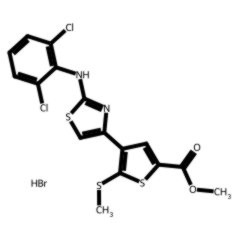 Br.COC(=O)c1cc(-c2csc(Nc3c(Cl)cccc3Cl)n2)c(SC)s1